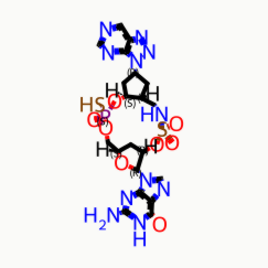 Nc1nc2c(ncn2[C@@H]2O[C@@H]3CO[P@](=O)(S)O[C@H]4C[C@H](n5nnc6cncnc65)C[C@@H]4CNS(=O)(=O)O[C@@H]2C3)c(=O)[nH]1